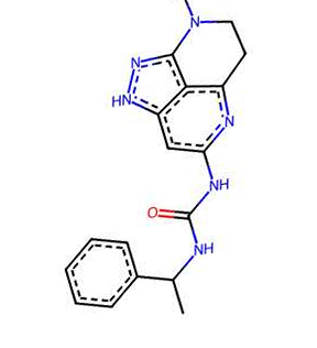 CC(=O)N1CCc2nc(NC(=O)NC(C)c3ccccc3)cc3[nH]nc1c23